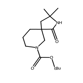 CC1(C)CC2(CCCN(C(=O)OC(C)(C)C)C2)C(=O)N1